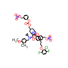 COc1ccc(CN(C(=O)C2=C(c3ccc(CCCOc4c(F)ccc(F)c4Cl)cc3)CC3CC(COC(=O)Oc4cccc(CO[N+](=O)[O-])c4)CC2N3C(=O)Oc2cccc(CO[N+](=O)[O-])c2)C2CC2)cc1C